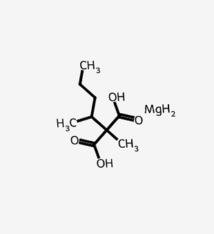 CCCC(C)C(C)(C(=O)O)C(=O)O.[MgH2]